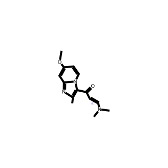 COc1ccn2c(C(=O)/C=C/N(C)C)c(C)nc2c1